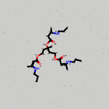 CCCN/C(C)=C\C(=O)OCCC(C)(CCOC(=O)/C=C(/C)NCCC)OC(=O)CC(C)NCCC